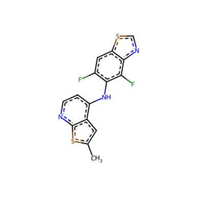 Cc1cc2c(Nc3c(F)cc4scnc4c3F)ccnc2s1